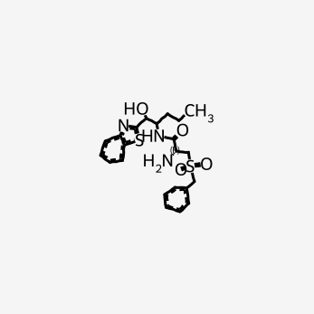 CCCC(NC(=O)[C@@H](N)CS(=O)(=O)Cc1ccccc1)C(O)c1nc2ccccc2s1